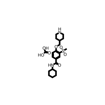 CS(=O)(=O)c1cc(C(=O)NC2CCCCC2)ccc1OCC1CCNCC1.O=C(O)O